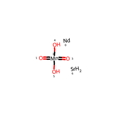 [Nd].[O]=[Mn](=[O])([OH])[OH].[SrH2]